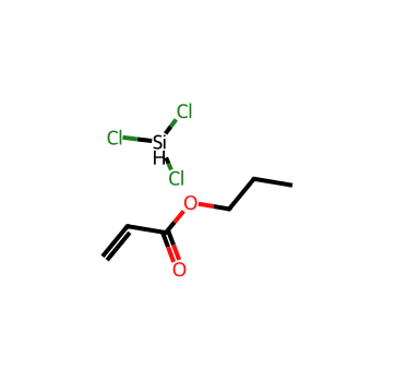 C=CC(=O)OCCC.Cl[SiH](Cl)Cl